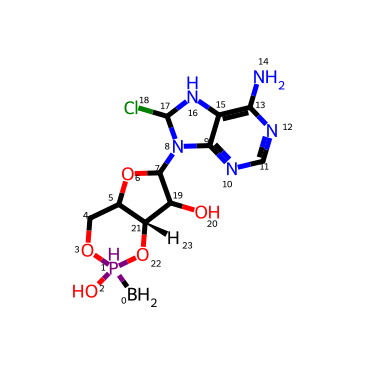 B[PH]1(O)OCC2OC(N3c4ncnc(N)c4NC3Cl)C(O)[C@@H]2O1